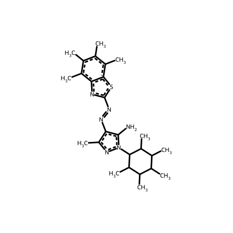 Cc1nn(C2C(C)C(C)C(C)C(C)C2C)c(N)c1/N=N/c1nc2c(C)c(C)c(C)c(C)c2s1